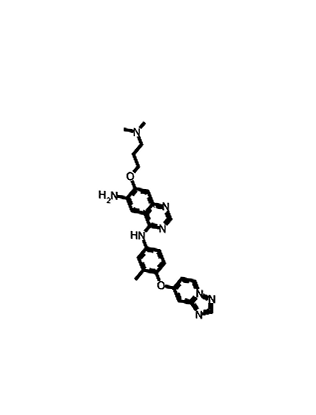 Cc1cc(Nc2ncnc3cc(OCCCN(C)C)c(N)cc23)ccc1Oc1ccn2ncnc2c1